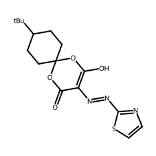 CC(C)(C)C1CCC2(CC1)OC(=O)C(N=Nc1nccs1)=C(O)O2